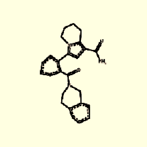 NC(=O)c1cc(-c2ccccc2C(=O)N2CCc3ccccc3C2)n2c1CCCC2